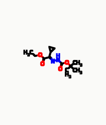 CCOC(=O)/C(=N/NC(=O)OC(C)(C)C)C1CC1